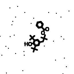 CC(C)(COC(=O)c1ccccc1)Cc1cc(C(C)(C)C)c(O)c(C(C)(C)C)c1